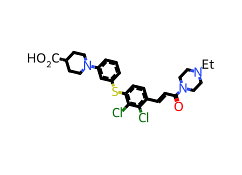 CCN1CCN(C(=O)/C=C/c2ccc(Sc3cccc(N4CCC(C(=O)O)CC4)c3)c(Cl)c2Cl)CC1